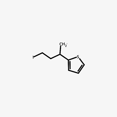 [CH2]C(CCI)c1cccs1